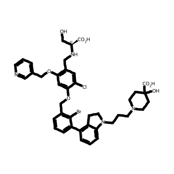 O=C(O)[C@H](CO)NCc1cc(Cl)c(OCc2cccc(-c3cccc4c3CCN4CCCN3CCC(O)(C(=O)O)CC3)c2Br)cc1OCc1cccnc1